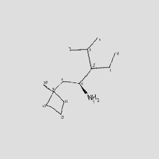 CCC(C(C)C)[C@@H](N)CC1(C)CCC1